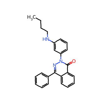 CCCCNc1cccc(-n2nc(-c3ccccc3)c3ccccc3c2=O)c1